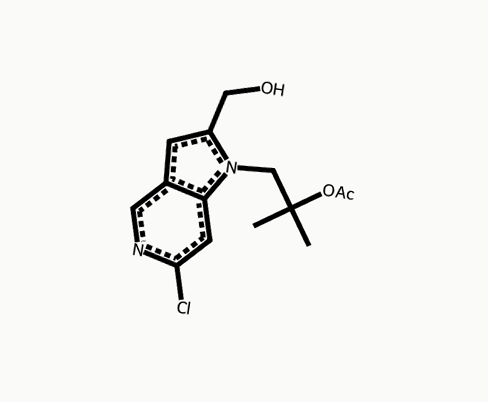 CC(=O)OC(C)(C)Cn1c(CO)cc2cnc(Cl)cc21